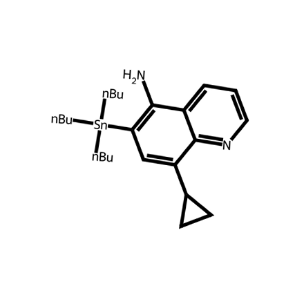 CCC[CH2][Sn]([CH2]CCC)([CH2]CCC)[c]1cc(C2CC2)c2ncccc2c1N